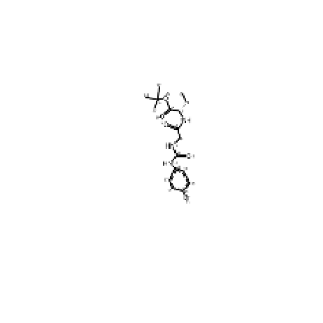 CC[C@H](NC(=O)CNC(=O)Nc1ccc(Br)cc1)C(=O)OC(C)(C)C